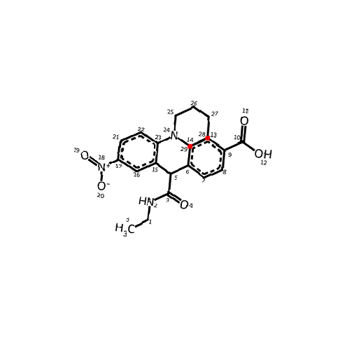 CCNC(=O)C(c1ccc(C(=O)O)cc1)c1cc([N+](=O)[O-])ccc1N1CCCCC1